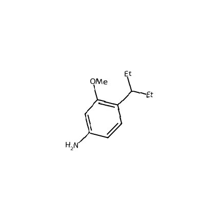 CCC(CC)c1ccc(N)cc1OC